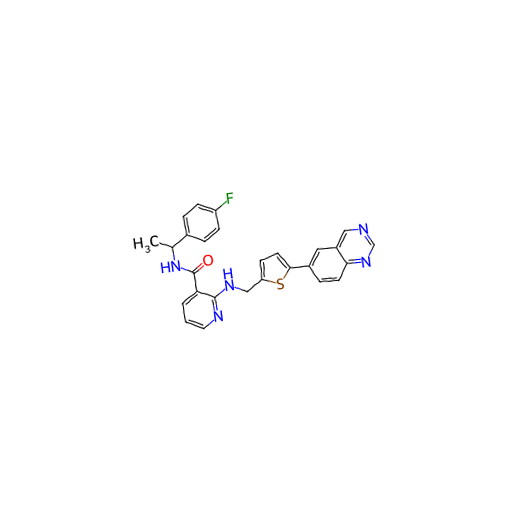 CC(NC(=O)c1cccnc1NCc1ccc(-c2ccc3ncncc3c2)s1)c1ccc(F)cc1